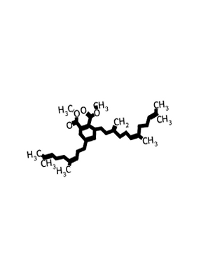 C=C(CCC=C(C)CCC=C(C)C)CCC1C=C(CCC=C(C)CCC=C(C)C)CC(C(=O)OC)=C1C(=O)OC